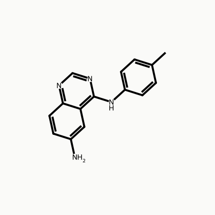 Cc1ccc(Nc2ncnc3ccc(N)cc23)cc1